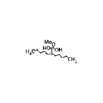 CCCCCS(CCCCC)=P(O)(O)[O][Mo]